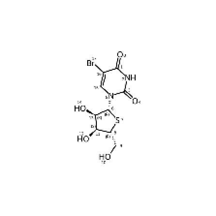 O=c1[nH]c(=O)n([C@@H]2S[C@H](CO)[C@@H](O)[C@H]2O)cc1Br